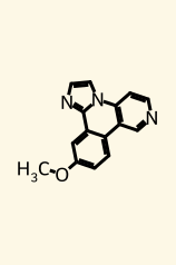 COc1ccc2c3cnccc3n3ccnc3c2c1